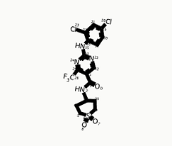 O=C(NC1CCS(=O)(=O)CC1)c1cnc(Nc2ccc(Cl)cc2Cl)nc1C(F)(F)F